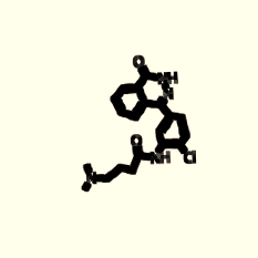 CN(C)CCCC(=O)Nc1cc(-c2n[nH]c(=O)c3ccccc23)ccc1Cl